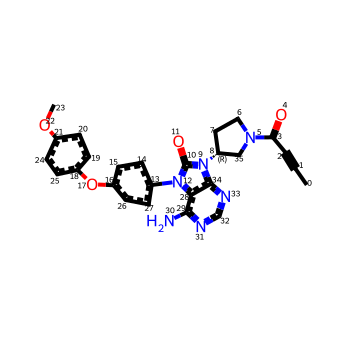 CC#CC(=O)N1CC[C@@H](n2c(=O)n(-c3ccc(Oc4ccc(OC)cc4)cc3)c3c(N)ncnc32)C1